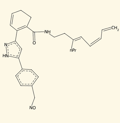 C=C/C=C\C=C(/CCC)CCNC(=O)C1=C(c2cc(-c3ccc(CN=O)cc3)[nH]n2)C=CCC1